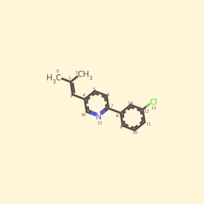 CC(C)=Cc1ccc(-c2cccc(Cl)c2)nc1